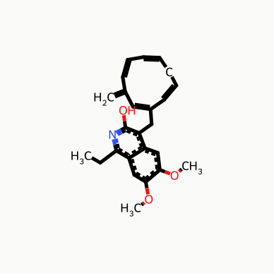 C=C1/C=C\C=C/C/C=C\C(Cc2c(O)nc(CC)c3cc(OC)c(OC)cc23)=C/1